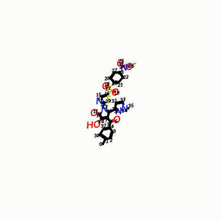 Cc1ccc(C(=O)C2=C(O)C(=O)N(c3ncc(S(=O)(=O)C4=CCC([N+](=O)[O-])C=C4)s3)C2c2ccn(C)n2)cc1